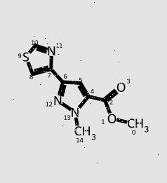 COC(=O)c1cc(-c2cscn2)nn1C